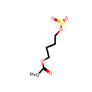 COC(=O)OCCCCO[SH](=O)=O